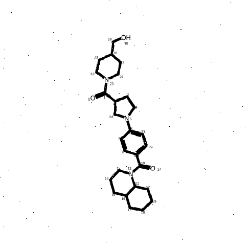 O=C(C1CCN(c2ccc(C(=O)N3CCCC4CCCCC43)cc2)C1)N1CCC(CO)CC1